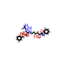 CC(C)N[C@@H](CS(=O)(=O)Cc1ccccc1)C(=O)NCCCC[C@H](O)c1nc2ccccc2o1